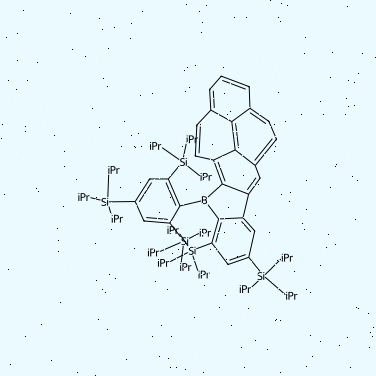 CC(C)[Si](c1cc2c(c([Si](C(C)C)(C(C)C)C(C)C)c1)B(c1c([Si](C(C)C)(C(C)C)C(C)C)cc([Si](C(C)C)(C(C)C)C(C)C)cc1[Si](C(C)C)(C(C)C)C(C)C)c1c-2cc2ccc3cccc4ccc1c2c34)(C(C)C)C(C)C